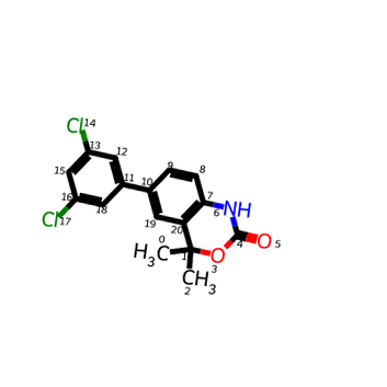 CC1(C)OC(=O)Nc2ccc(-c3cc(Cl)cc(Cl)c3)cc21